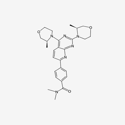 C[C@H]1COCCN1c1nc(N2CCOC[C@@H]2C)c2ccc(-c3ccc(C(=O)N(C)C)cc3)nc2n1